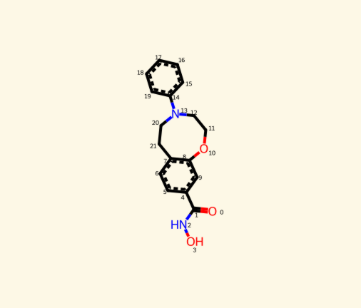 O=C(NO)c1ccc2c(c1)OCCN(c1ccccc1)CC2